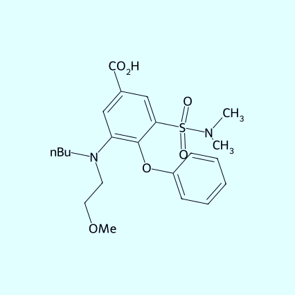 CCCCN(CCOC)c1cc(C(=O)O)cc(S(=O)(=O)N(C)C)c1Oc1ccccc1